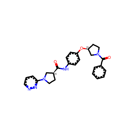 O=C(Nc1ccc(O[C@H]2CCN(C(=O)c3ccccc3)C2)cc1)[C@H]1CCN(c2cccnn2)C1